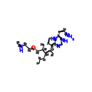 C=CC(=C(/N=C)NC(=N)/C=C\N)/C(C)=C(/CCC)C(C)COCCNC